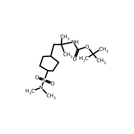 CN(C)S(=O)(=O)C1CCC(CC(C)(C)NC(=O)OC(C)(C)C)CC1